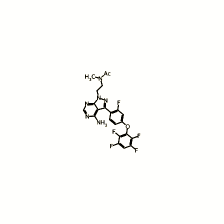 CC(=O)N(C)CCn1nc(-c2ccc(Oc3c(F)c(F)cc(F)c3F)cc2F)c2c(N)ncnc21